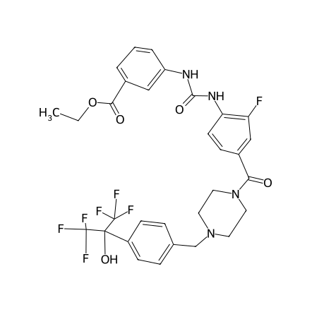 CCOC(=O)c1cccc(NC(=O)Nc2ccc(C(=O)N3CCN(Cc4ccc(C(O)(C(F)(F)F)C(F)(F)F)cc4)CC3)cc2F)c1